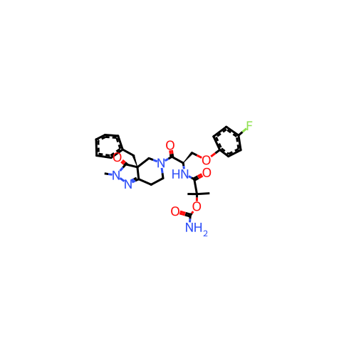 CN1N=C2CCN(C(=O)[C@@H](COc3ccc(F)cc3)NC(=O)C(C)(C)OC(N)=O)C[C@@]2(Cc2ccccc2)C1=O